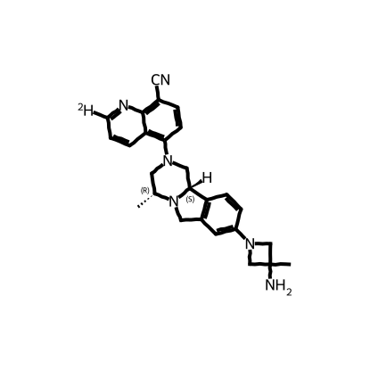 [2H]c1ccc2c(N3C[C@@H](C)N4Cc5cc(N6CC(C)(N)C6)ccc5[C@H]4C3)ccc(C#N)c2n1